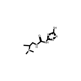 CC(CNC(=O)Nc1nnc(S)s1)N(C)C